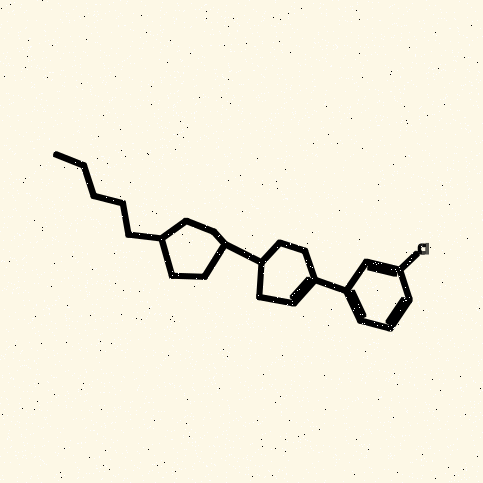 CCCCCC1CCC(C2CC=C(c3cccc(Cl)c3)CC2)CC1